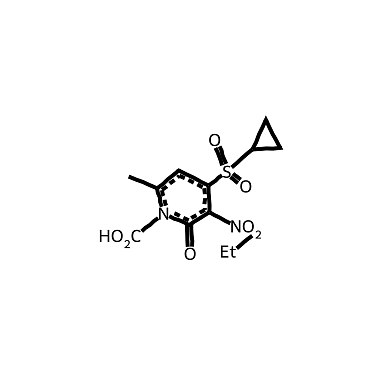 CCC.Cc1cc(S(=O)(=O)C2CC2)c([N+](=O)[O-])c(=O)n1C(=O)O